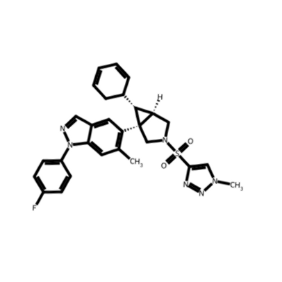 Cc1cc2c(cnn2-c2ccc(F)cc2)cc1[C@@]12CN(S(=O)(=O)c3cn(C)nn3)C[C@@H]1[C@H]2C1C=CC=CC1